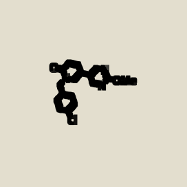 COc1ncc(-c2ccc(=O)n(Cc3ccc(Cl)cc3)c2)cn1